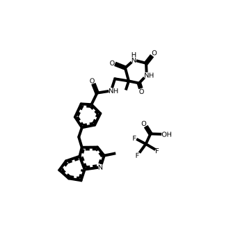 Cc1cc(Cc2ccc(C(=O)NCC3(C)C(=O)NC(=O)NC3=O)cc2)c2ccccc2n1.O=C(O)C(F)(F)F